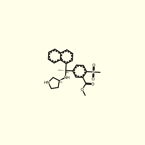 COC(=O)c1cc([C@@](C)(N[C@H]2CCNC2)c2cccc3ccccc23)ccc1S(C)(=O)=O